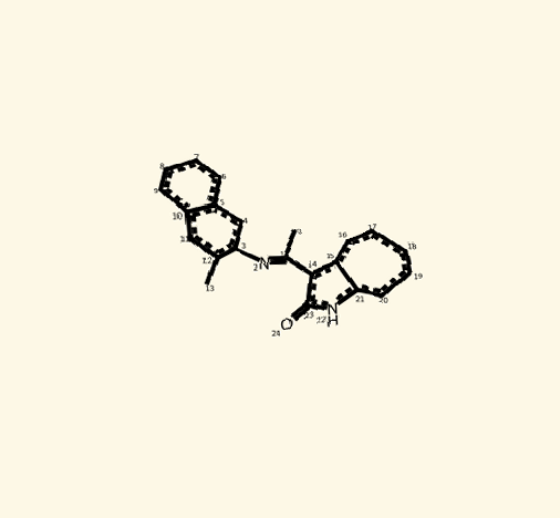 C/C(=N\c1cc2ccccc2cc1C)c1c2cccccc-2[nH]c1=O